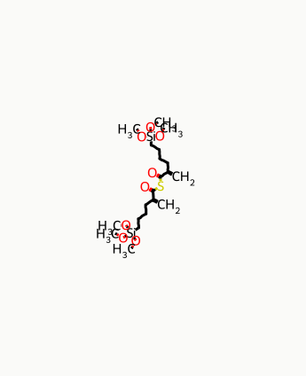 C=C(CCCC[Si](OC)(OC)OC)C(=O)SC(=O)C(=C)CCCC[Si](OC)(OC)OC